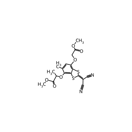 COC(=O)COc1cc(C)c(OC(C)C(=O)OC)c2c1SC(=C(C#N)C#N)S2